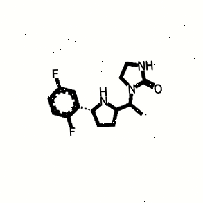 [CH2]C(C1CC[C@H](c2cc(F)ccc2F)N1)N1CCNC1=O